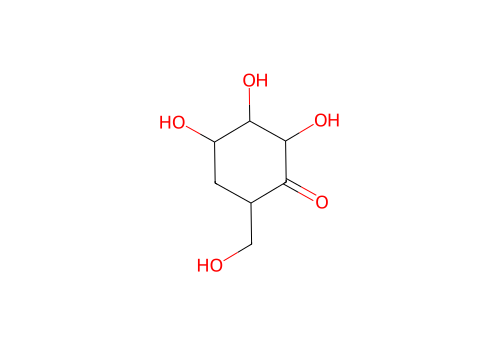 O=C1C(CO)CC(O)C(O)C1O